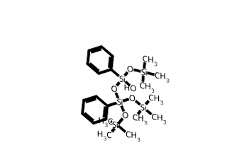 C[Si](C)(C)O[Si](O)(O[Si](O[Si](C)(C)C)(O[Si](C)(C)C)c1ccccc1)c1ccccc1